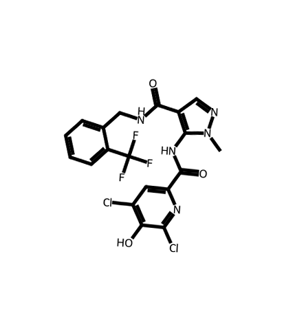 Cn1ncc(C(=O)NCc2ccccc2C(F)(F)F)c1NC(=O)c1cc(Cl)c(O)c(Cl)n1